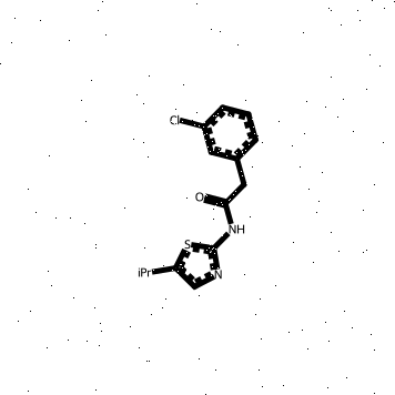 CC(C)c1cnc(NC(=O)Cc2cccc(Cl)c2)s1